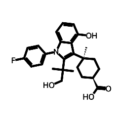 CC(C)(CO)c1c([C@]2(C)CC[C@H](C(=O)O)CC2)c2c(O)cccc2n1-c1ccc(F)cc1